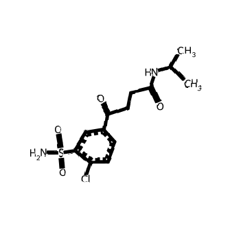 CC(C)NC(=O)CCC(=O)c1ccc(Cl)c(S(N)(=O)=O)c1